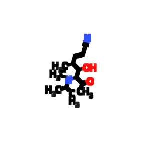 CC(=O)[C@H]([C@H](O)[C@H](C)/C=C/C#N)N(C)C(C)C